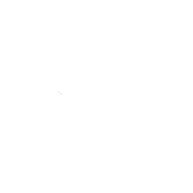 C=C(c1ccc(C#Cc2ccccc2)cc1)N1CCC(O)CC1